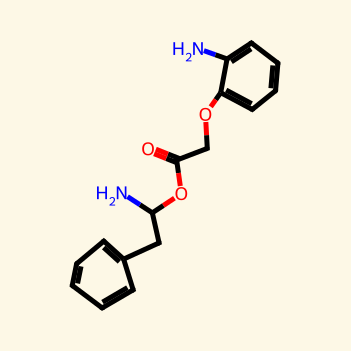 Nc1ccccc1OCC(=O)OC(N)Cc1ccccc1